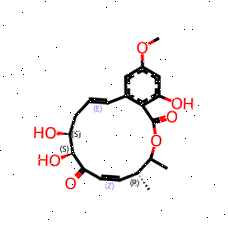 COc1cc(O)c2c(c1)/C=C/C[C@H](O)[C@H](O)C(=O)/C=C\[C@@H](C)C(C)OC2=O